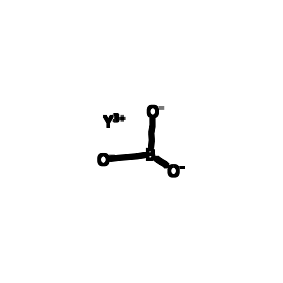 [O-]B([O-])[O-].[Y+3]